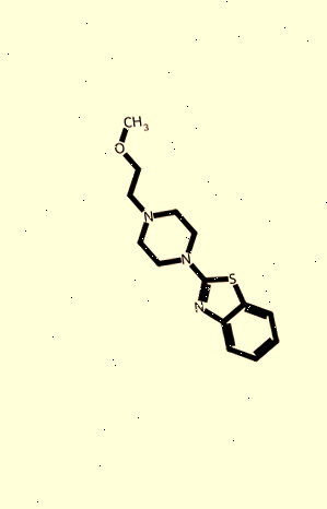 COCCN1CCN(c2nc3ccccc3s2)CC1